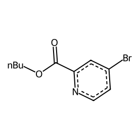 CCCCOC(=O)c1cc(Br)ccn1